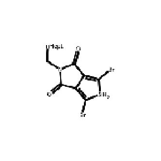 CCCCCCCCN1C(=O)C2=C(Br)[SiH2]C(Br)=C2C1=O